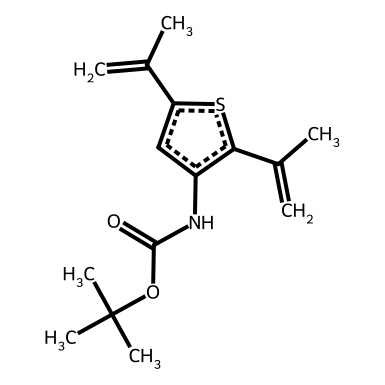 C=C(C)c1cc(NC(=O)OC(C)(C)C)c(C(=C)C)s1